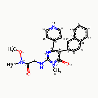 CON(C)C(=O)CNc1nc(-c2ccncc2)c(-c2ccc3ccccc3c2)c(=O)n1C